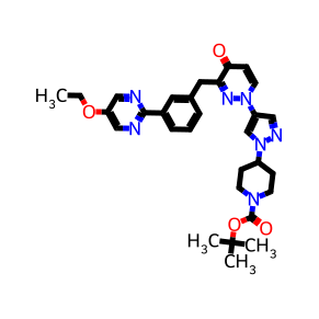 CCOc1cnc(-c2cccc(Cc3nn(-c4cnn(C5CCN(C(=O)OC(C)(C)C)CC5)c4)ccc3=O)c2)nc1